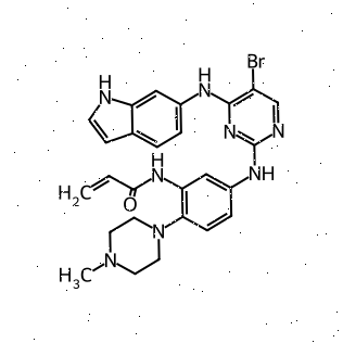 C=CC(=O)Nc1cc(Nc2ncc(Br)c(Nc3ccc4cc[nH]c4c3)n2)ccc1N1CCN(C)CC1